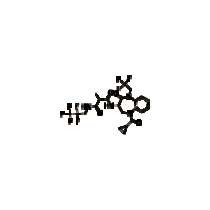 CC(C(=O)NCC(F)(F)C(F)(F)F)C(=O)N[C@H]1CN(C(=O)C2CC2)c2ccccc2N(CC(F)(F)F)C1=O